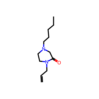 C=CCN1CCN(CCCCC)CC1=O